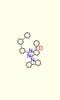 c1ccc(-c2cccc(-c3cccc(-c4nc(-n5c6ccccc6c6ccccc65)c5ccc6oc7ccccc7c6c5n4)c3)c2)cc1